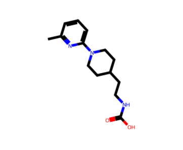 Cc1cccc(N2CCC(CCNC(=O)O)CC2)n1